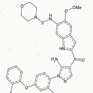 COOc1cc2cc(C(=O)c3cnn(-c4ccc(Oc5ccccc5F)cc4C)c3N)[nH]c2cc1NSN1CCOCC1